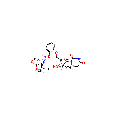 CC(C)[C@](C)(/N=[P+](\[O-])Oc1ccccc1OC[C@H]1O[C@@H](n2ccc(=O)[nH]c2=O)[C@](C)(F)[C@@H]1O)C(=O)O